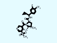 C[C@@H]1C[C@H](C(=O)NC(c2ccc(C(F)(F)F)c(F)c2)C2CC2)N(C(=O)c2cncc(S(C)(=O)=O)c2)[C@@H]1C